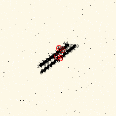 CCCCCCCCCCCC(=O)OCCCCCCCCCC.CCCCCCCCCCCCCC(=O)OCCC(C)C